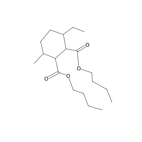 CCCCOC(=O)C1C(C)CCC(CC)C1C(=O)OCCCC